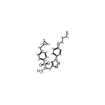 CN(Cc1cn(-c2ccc(OCCCF)cc2)nn1)S(=O)(=O)c1ccc(CC2CC2)cc1